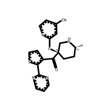 C[C@@H]1CC[C@](Oc2cc(C#N)ccn2)(C(=O)c2ccsc2-c2ncccn2)CN1